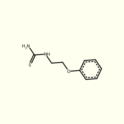 NC(=S)NCCOc1ccccc1